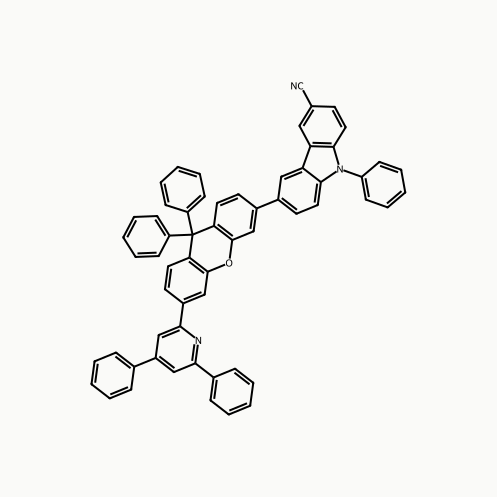 N#Cc1ccc2c(c1)c1cc(-c3ccc4c(c3)Oc3cc(-c5cc(-c6ccccc6)cc(-c6ccccc6)n5)ccc3C4(c3ccccc3)c3ccccc3)ccc1n2-c1ccccc1